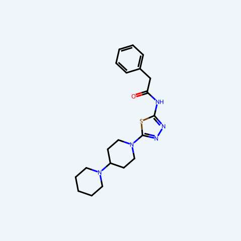 O=C(Cc1ccccc1)Nc1nnc(N2CCC(N3CCCCC3)CC2)s1